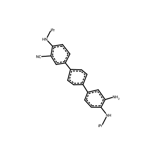 CC(C)Nc1ccc(-c2ccc(-c3ccc(NC(C)C)c(C#N)c3)cc2)cc1N